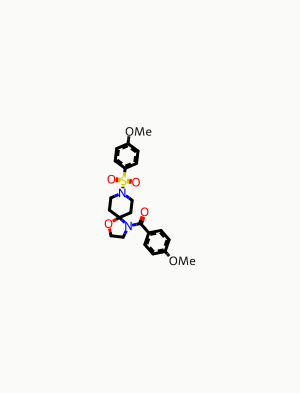 COc1ccc(C(=O)N2CCOC23CCN(S(=O)(=O)c2ccc(OC)cc2)CC3)cc1